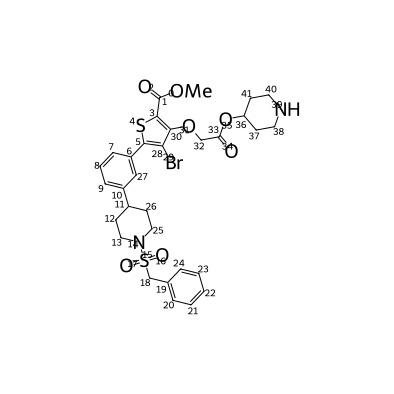 COC(=O)c1sc(-c2cccc(C3CCN(S(=O)(=O)Cc4ccccc4)CC3)c2)c(Br)c1OCC(=O)OC1CCNCC1